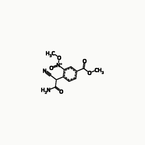 COC(=O)c1ccc(C(C#N)C(N)=O)c([N+](=O)OC)c1